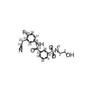 CN(CCO)S(=O)(=O)c1cccc(C(=O)Nc2ccc(F)c(CC#N)c2)c1